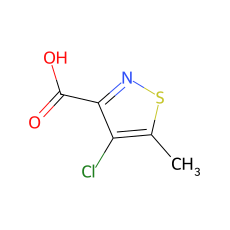 Cc1snc(C(=O)O)c1Cl